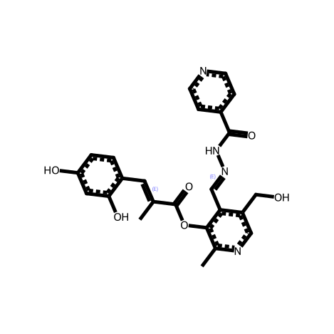 C/C(=C\c1ccc(O)cc1O)C(=O)Oc1c(C)ncc(CO)c1/C=N/NC(=O)c1ccncc1